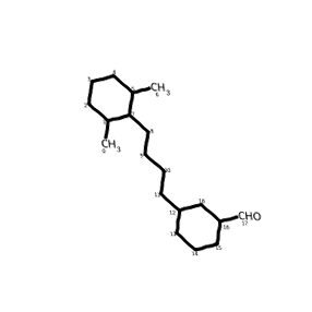 CC1CCCC(C)C1CCCCC1CCCC(C=O)C1